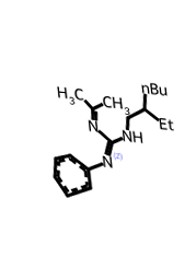 CCCCC(CC)CN/C(N=C(C)C)=N/c1ccccc1